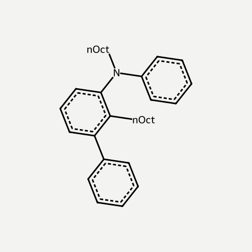 CCCCCCCCc1c(-c2ccccc2)cccc1N(CCCCCCCC)c1ccccc1